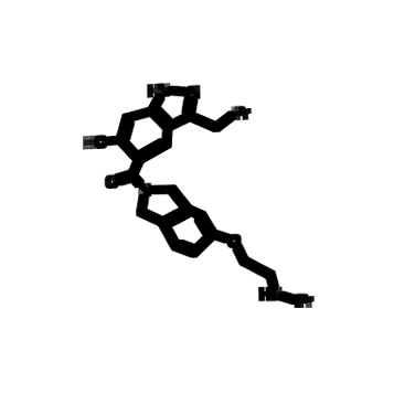 CC(C)Cc1n[nH]c2cc(O)c(C(=O)N3Cc4ccc(OCCNC(C)C)cc4C3)cc12